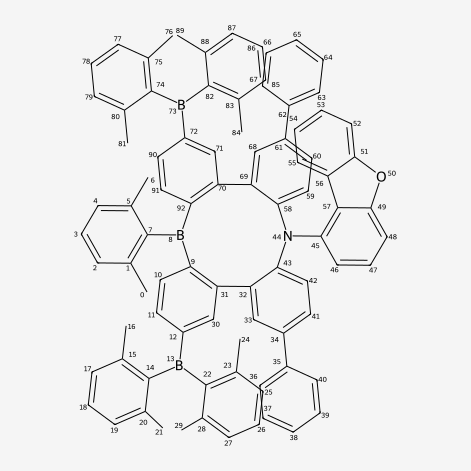 Cc1cccc(C)c1B1c2ccc(B(c3c(C)cccc3C)c3c(C)cccc3C)cc2-c2cc(-c3ccccc3)ccc2N(c2cccc3oc4ccccc4c23)c2ccc(-c3ccccc3)cc2-c2cc(B(c3c(C)cccc3C)c3c(C)cccc3C)ccc21